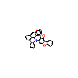 c1ccc(-c2ccccc2N(c2cccc3ccccc23)c2cc3oc4ccccc4c3c3oc4ccccc4c23)cc1